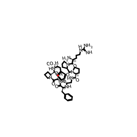 N=C(N)NCCC[C@H](N)C(=O)N1CCCC1C(=O)N1CCC[C@H]1C(=O)NCC(=O)N[C@@H](Cc1ccccc1)C(=O)N[C@@H](CO)C(=O)N1CCC[C@H]1C(=O)N[C@@H](Cc1ccccc1)C(=O)O